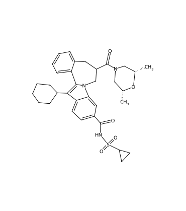 C[C@@H]1CN(C(=O)C2Cc3ccccc3-c3c(C4CCCCC4)c4ccc(C(=O)NS(=O)(=O)C5CC5)cc4n3C2)C[C@H](C)O1